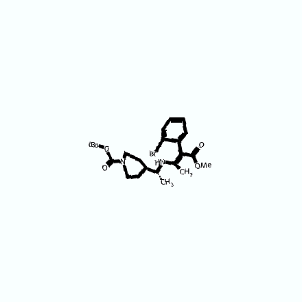 COC(=O)/C(=C(\C)N[C@H](C)C1CCN(C(=O)OC(C)(C)C)CC1)c1ccccc1Br